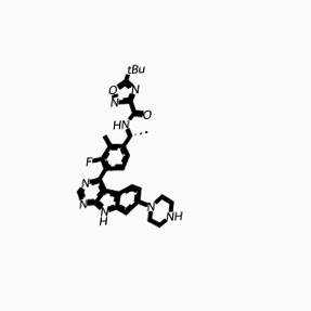 Cc1c([C@@H](C)NC(=O)c2noc(C(C)(C)C)n2)ccc(-c2ncnc3[nH]c4cc(N5CCNCC5)ccc4c23)c1F